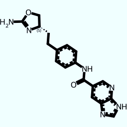 NC1=N[C@@H](CCc2ccc(NC(=O)c3cnc4[nH]cnc4c3)cc2)CO1